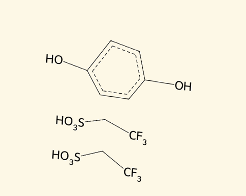 O=S(=O)(O)CC(F)(F)F.O=S(=O)(O)CC(F)(F)F.Oc1ccc(O)cc1